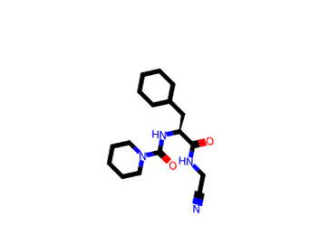 N#CCNC(=O)[C@H](CC1CCCCC1)NC(=O)N1CCCCC1